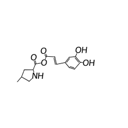 CC1CNC(C(=O)OC(=O)/C=C/c2ccc(O)c(O)c2)C1